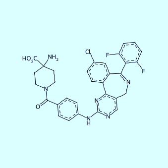 NC1(C(=O)O)CCN(C(=O)c2ccc(Nc3ncc4c(n3)-c3ccc(Cl)cc3C(c3c(F)cccc3F)=NC4)cc2)CC1